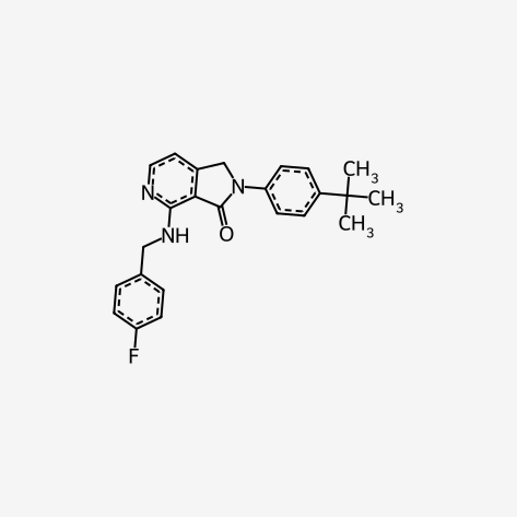 CC(C)(C)c1ccc(N2Cc3ccnc(NCc4ccc(F)cc4)c3C2=O)cc1